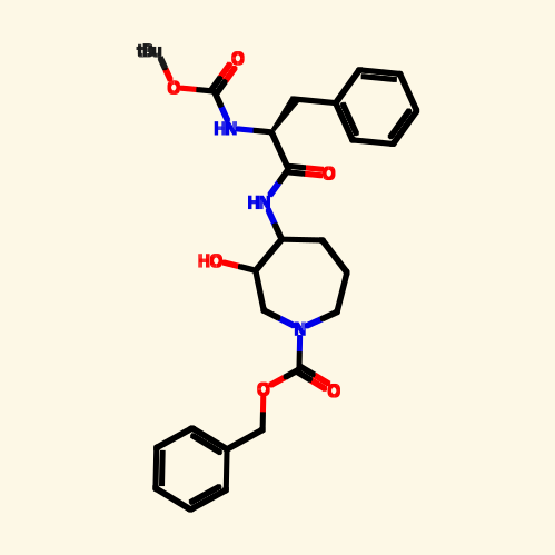 CC(C)(C)OC(=O)N[C@@H](Cc1ccccc1)C(=O)NC1CCCN(C(=O)OCc2ccccc2)CC1O